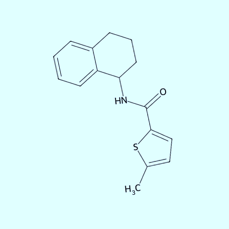 Cc1ccc(C(=O)NC2CCCc3ccccc32)s1